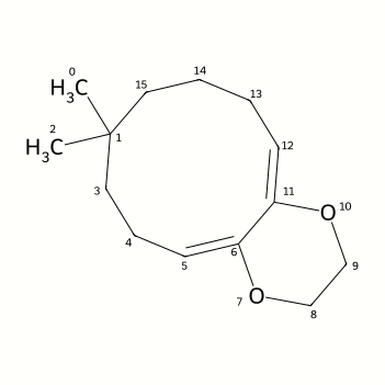 CC1(C)CC/C=C2/OCCO/C2=C/CCC1